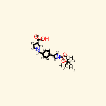 CC(C)(C)OC(=O)N1CC(c2ccc(CN3CC[C@H](C(=O)O)C3)cc2)C1